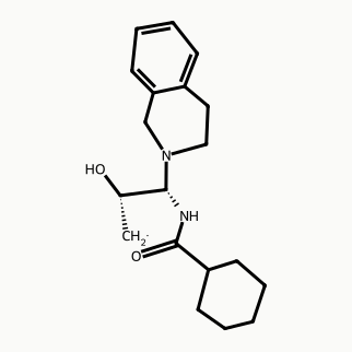 [CH2][C@H](O)[C@@H](NC(=O)C1CCCCC1)N1CCc2ccccc2C1